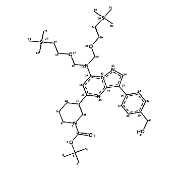 CC(C)(C)OC(=O)N1CCCC(c2cc(N(COCC[Si](C)(C)C)COCC[Si](C)(C)C)n3ncc(-c4ccc(CO)cc4)c3n2)C1